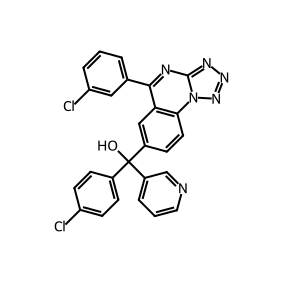 OC(c1ccc(Cl)cc1)(c1cccnc1)c1ccc2c(c1)c(-c1cccc(Cl)c1)nc1nnnn12